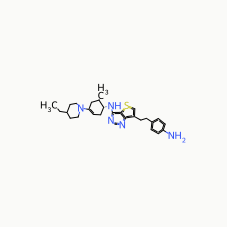 CCC1CCN(C2=CC[C@@H](Nc3ncnc4c(CCc5ccc(N)cc5)csc34)C(C)C2)CC1